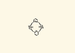 c1cc2cc3cnc(cc4cccc(cc5cnc(cc(c1)n2)[nH]5)n4)[nH]3